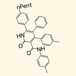 CCCCCc1ccc(-c2[nH]c(=O)c(C(=O)Nc3ccc(C)cc3)c(-c3ccc(C)cc3)c2-c2ccccc2)cc1